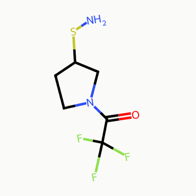 NSC1CCN(C(=O)C(F)(F)F)C1